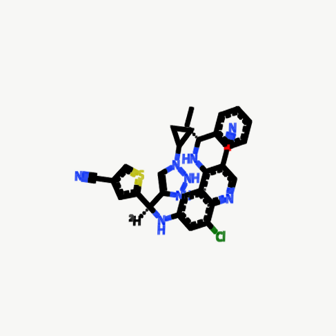 [2H][C@@](Nc1cc(Cl)c2ncc(C#N)c(N[C@H](CC)c3ccccc3)c2c1)(C1=CN(C2CC2)NN1)c1cc(C#N)cs1